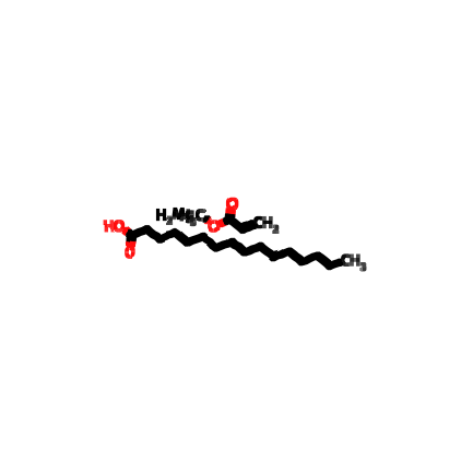 C=CC(=O)OC.CCCCCCCCCCCCCCCC(=O)O.[MgH2]